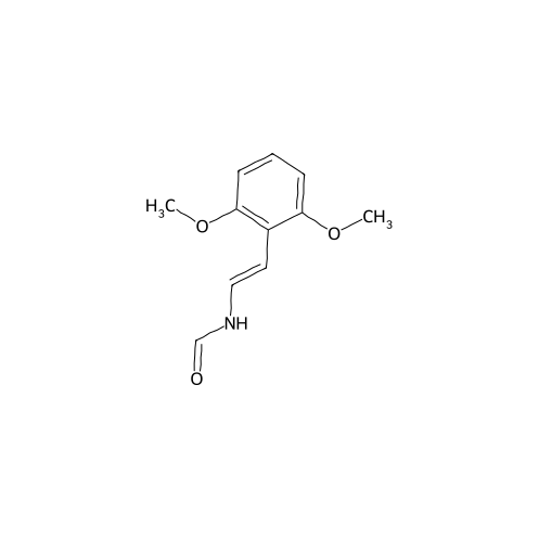 COc1cccc(OC)c1C=CNC=O